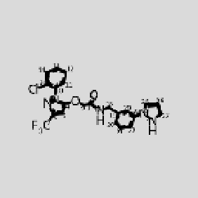 O=C(COc1cc(C(F)(F)F)nn1-c1ccccc1Cl)NCc1cccc(N2C=CCN2)c1